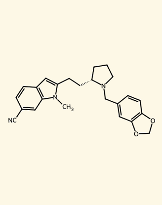 Cn1c(CC[C@@H]2CCCN2Cc2ccc3c(c2)OCO3)cc2ccc(C#N)cc21